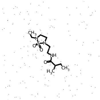 CCC(C)C(=O)NCCN1CCN(CC)S1(=O)=O